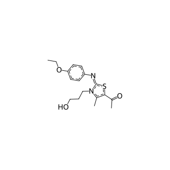 CCOc1ccc(N=c2sc(C(C)=O)c(C)n2CCCO)cc1